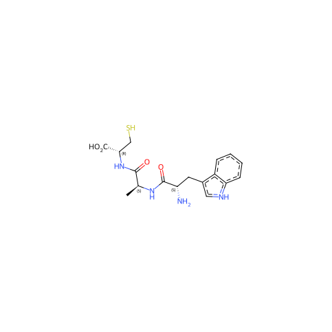 C[C@H](NC(=O)[C@@H](N)Cc1c[nH]c2ccccc12)C(=O)N[C@@H](CS)C(=O)O